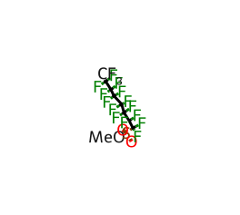 COS(=O)(=O)C(F)(F)C(F)(F)C(F)(F)C(F)(F)C(F)(F)C(F)(F)C(F)(F)C(F)(F)F